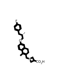 CC1=C(CN2CC(C(=O)O)C2)CCc2cc(OC[C@@H](C)Cc3ccc(F)cc3)ccc21